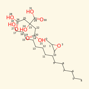 CC1CO1.CCCCCCCCCCCCCCO.O=C(O)CC(O)(CC(=O)O)C(=O)O